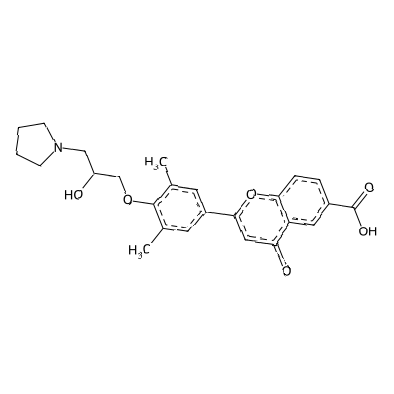 Cc1cc(-c2cc(=O)c3cc(C(=O)O)ccc3o2)cc(C)c1OCC(O)CN1CCCC1